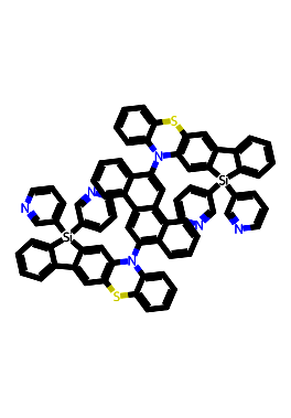 c1cncc([Si]2(c3cccnc3)c3ccccc3-c3cc4c(cc32)N(c2cc3c5ccccc5c(N5c6ccccc6Sc6cc7c(cc65)[Si](c5cccnc5)(c5cccnc5)c5ccccc5-7)cc3c3ccccc23)c2ccccc2S4)c1